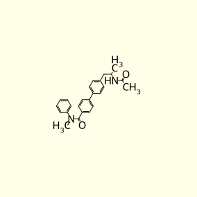 CC(=O)NC(C)Cc1ccc(-c2ccc(C(=O)N(C)c3ccccc3)cc2)cc1